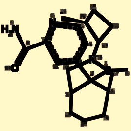 COC1(c2ccnc(C(N)=O)c2)C2CCCC1CN(C1CC[C@@H]1C)C2